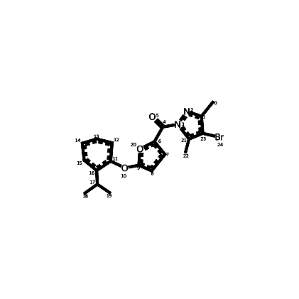 Cc1nn(C(=O)c2ccc(Oc3ccccc3C(C)C)o2)c(C)c1Br